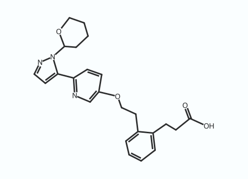 O=C(O)CCc1ccccc1CCOc1ccc(-c2ccnn2C2CCCCO2)nc1